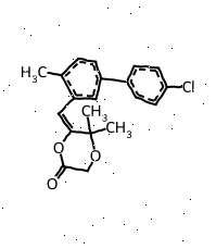 Cc1ccc(-c2ccc(Cl)cc2)cc1C=C1OC(=O)COC1(C)C